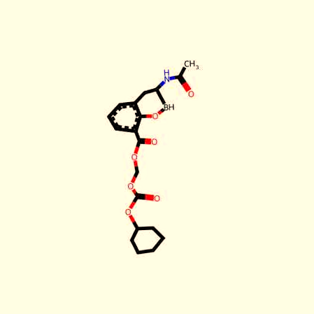 CC(=O)NC1BOc2c(cccc2C(=O)OCOC(=O)OC2CCCCC2)C1